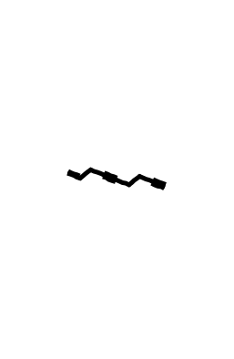 C#CCCC#CCC=C